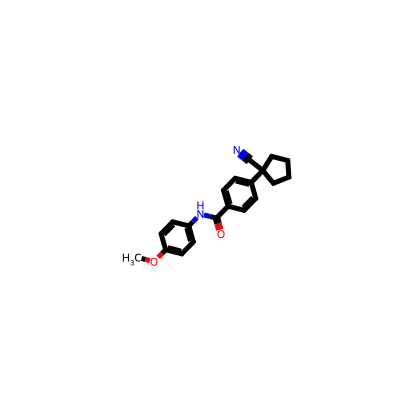 COc1ccc(NC(=O)c2ccc(C3(C#N)CCCC3)cc2)cc1